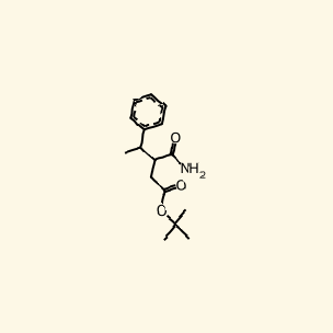 CC(c1ccccc1)C(CC(=O)OC(C)(C)C)C(N)=O